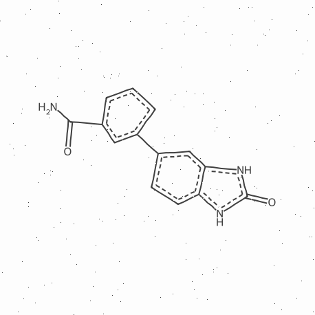 NC(=O)c1cccc(-c2ccc3[nH]c(=O)[nH]c3c2)c1